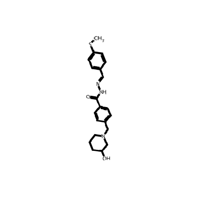 CSc1ccc(/C=N/NC(=O)c2ccc(CN3CCCC(O)C3)cc2)cc1